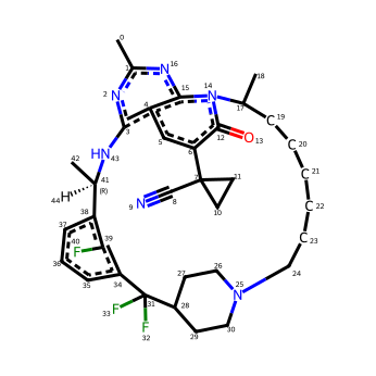 Cc1nc2c3cc(C4(C#N)CC4)c(=O)n(c3n1)C(C)CCCCCCN1CCC(CC1)C(F)(F)c1cccc(c1F)[C@@H](C)N2